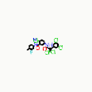 Cc1ccc(NC(=O)c2cc(NC(=O)C3C(c4cc(Cl)cc(Cl)c4)C3(Cl)Cl)ccc2Cl)cc1F